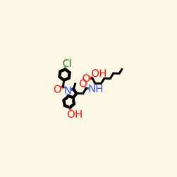 CCCCCCC(NC(=O)Cc1c(C)n(C(=O)c2ccc(Cl)cc2)c2ccc(O)cc12)C(=O)O